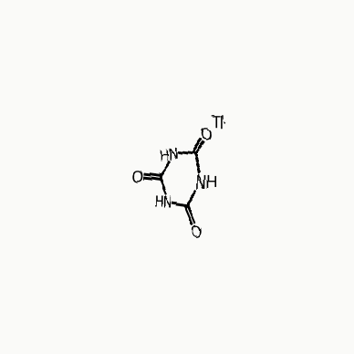 O=c1[nH]c(=O)[nH]c(=O)[nH]1.[Tl]